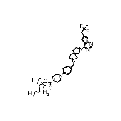 CCCC(C)(C)OC(=O)N1CCN(c2ccc(CN3CCC4(CCN(c5ncnn6cc(CC(F)(F)F)cc56)C4)C3)cc2)CC1